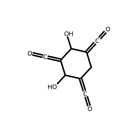 O=C=C1CC(=C=O)C(O)C(=C=O)C1O